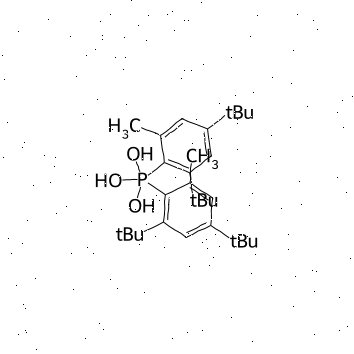 Cc1cc(C(C)(C)C)cc(C(C)(C)C)c1P(O)(O)(O)c1c(C)cc(C(C)(C)C)cc1C(C)(C)C